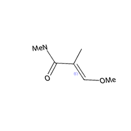 CNC(=O)/C(C)=C/OC